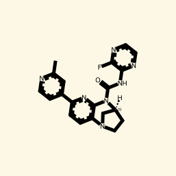 Cc1cc(-c2ccc3c(n2)N(C(=O)Nc2nccnc2F)[C@H]2CCN3C2)ccn1